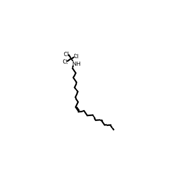 CCCCCCCC/C=C\CCCCCCCCNC(Cl)(Cl)Cl